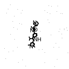 Cc1cc(-c2[nH]c3ccc(-c4nnc(C5CN6CCC5CC6)o4)cc3c2C(C)C)cc(C)n1